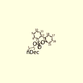 CCCCCCCCCCCCOS(=O)(=O)c1ccccc1-c1ccccc1